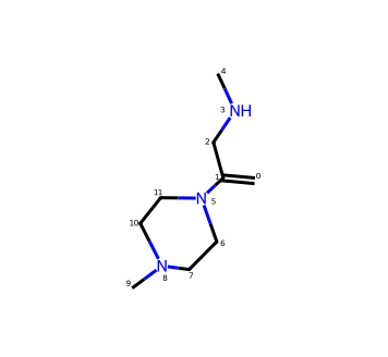 C=C(CNC)N1CCN(C)CC1